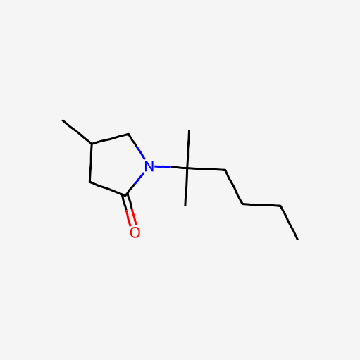 CCCCC(C)(C)N1CC(C)CC1=O